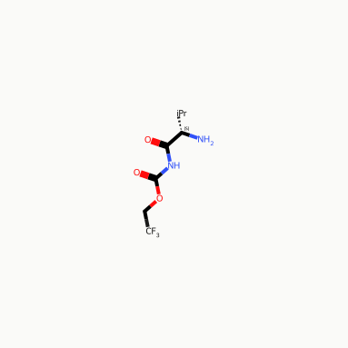 CC(C)[C@H](N)C(=O)NC(=O)OCC(F)(F)F